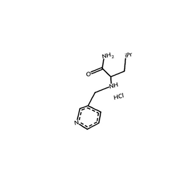 CC(C)CC(NCc1cccnc1)C(N)=O.Cl